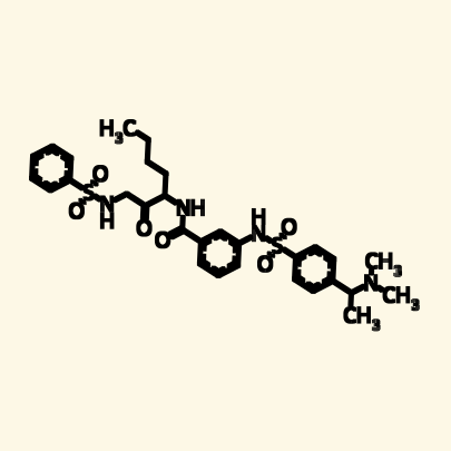 CCCCC(NC(=O)c1cccc(NS(=O)(=O)c2ccc(C(C)N(C)C)cc2)c1)C(=O)CNS(=O)(=O)c1ccccc1